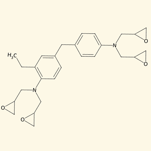 CCc1cc(Cc2ccc(N(CC3CO3)CC3CO3)cc2)ccc1N(CC1CO1)CC1CO1